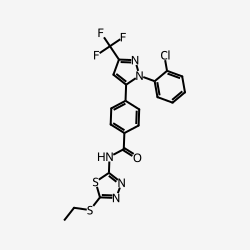 CCSc1nnc(NC(=O)c2ccc(-c3cc(C(F)(F)F)nn3-c3ccccc3Cl)cc2)s1